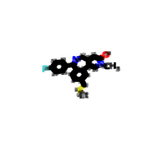 CCSCc1ccc2c(c1)-c1cn(C)c(=O)cc1CN=C2c1ccc(F)cc1